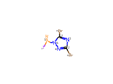 Brc1nc(Br)n(PI)n1